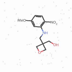 COc1ccc([N+](=O)[O-])c(NCC2(CO)COC2)c1